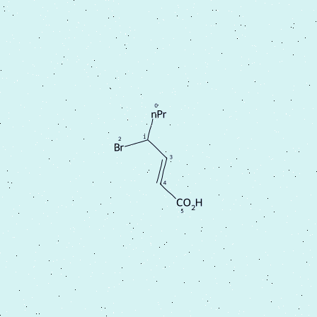 CCCC(Br)/C=C/C(=O)O